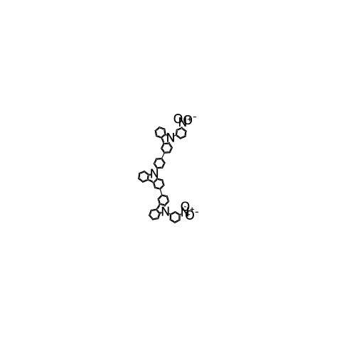 O=[N+]([O-])c1cccc(-n2c3ccccc3c3cc(-c4ccc(-n5c6ccccc6c6cc(-c7ccc8c(c7)c7ccccc7n8-c7cccc([N+](=O)[O-])c7)ccc65)cc4)ccc32)c1